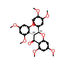 COc1cc(OC)c2c(c1)O[C@H](c1ccc(OC)c(OC)c1)[C@@H](c1c(OC)cc(OC)cc1OC)C2=O